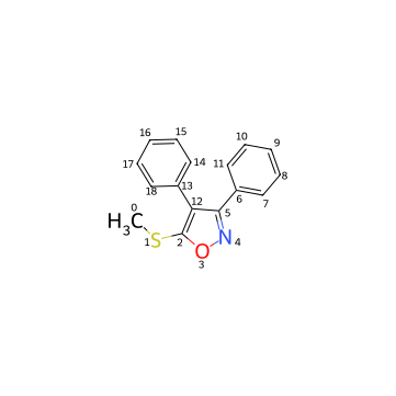 CSc1onc(-c2ccccc2)c1-c1ccccc1